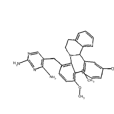 COc1[c]cc(Cc2cnc(N)nc2N)c(N2CCc3ccccc3C2c2cc(Cl)ccn2)c1OC